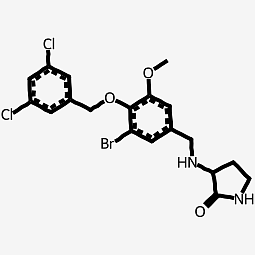 COc1cc(CNC2CCNC2=O)cc(Br)c1OCc1cc(Cl)cc(Cl)c1